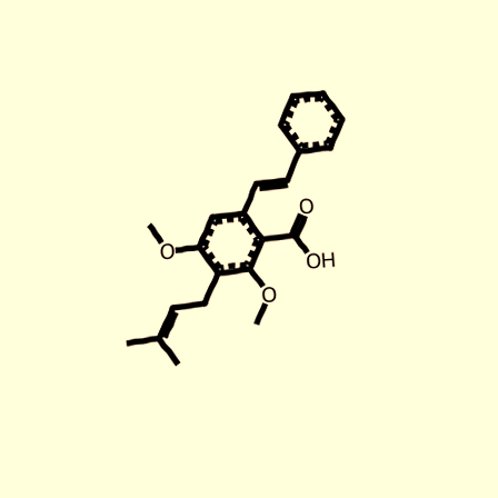 COc1cc(C=Cc2ccccc2)c(C(=O)O)c(OC)c1CC=C(C)C